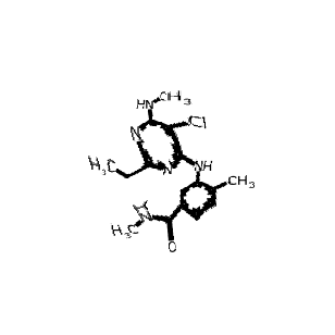 CCc1nc(NC)c(Cl)c(Nc2cc(C(=O)NC)ccc2C)n1